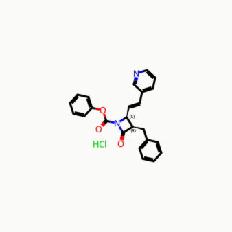 Cl.O=C(Oc1ccccc1)N1C(=O)[C@H](Cc2ccccc2)[C@@H]1C=Cc1cccnc1